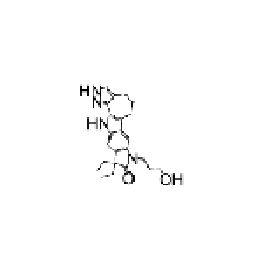 CCC1(CC)C(=O)N(CCCO)c2cc3c4c([nH]c3cc21)-c1n[nH]cc1CCC4